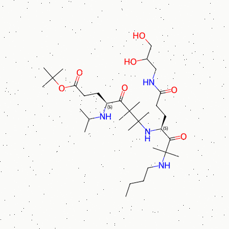 CCCCNC(C)(C)C(=O)[C@H](CCC(=O)NCC(O)CO)NC(C)(C)C(C)(C)C(=O)[C@H](CCC(=O)OC(C)(C)C)NC(C)C